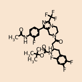 CC(=O)Nc1ccc(-c2nc(C(F)(F)F)n3c2CN(C(=O)C[C@@H](Cc2cc(F)c(F)cc2F)NC(=O)OC(C)(C)C)CC3)cc1F